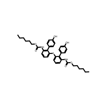 CCCCCCOC(=O)Nc1cccc(Sc2cccc(NC(=O)OCCCCCC)c2-c2ccc(O)cc2)c1-c1ccc(O)cc1